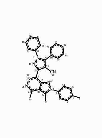 Cc1ccc(-n2nc3c(-c4nn(-c5ccccc5)c(-c5ccccc5)c4C#N)nnc(C)c3c2C)cc1